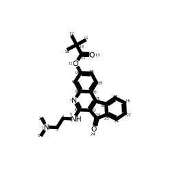 CN(C)CCNc1nc2cc(OC(=O)C(C)(C)C)ccc2c2c1C(=O)c1ccccc1-2